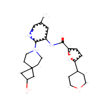 O=C(Nc1cc(C(F)(F)F)cnc1N1CCC2(CC1)CC(O)C2)c1ccc(C2CCOCC2)o1